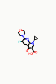 O=C(O)c1cn(C2CC2)c2nc(N3CCOCC3)c(F)cc2c1=O